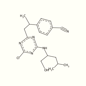 CC(C)CC(CO)Nc1nc(Cl)nc(CC(C)c2ccc(C#N)cc2)n1